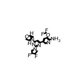 Nc1ncc(-c2cc(N3C[C@H]4C[C@@H]3CO4)nc(N3C[C@@H](F)[C@@H](F)C3)n2)cc1OC(F)F